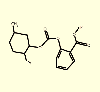 CCCOC(=O)c1ccccc1OC(=O)OC1CC(C)CCC1C(C)C